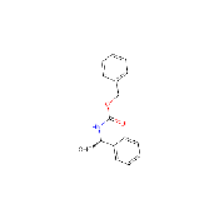 O=C[C@@H](NC(=O)OCc1ccccc1)c1ccccc1